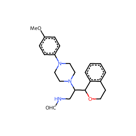 COc1ccc(N2CCN(C(CNC=O)C3OCCc4ccccc43)CC2)cc1